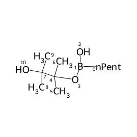 CCCCCB(O)OC(C)(C)C(C)(C)O